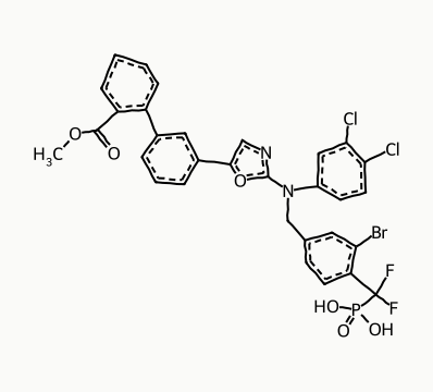 COC(=O)c1ccccc1-c1cccc(-c2cnc(N(Cc3ccc(C(F)(F)P(=O)(O)O)c(Br)c3)c3ccc(Cl)c(Cl)c3)o2)c1